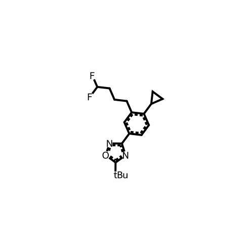 CC(C)(C)c1nc(-c2ccc(C3CC3)c(CCCC(F)F)c2)no1